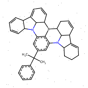 CC(C)(c1ccccc1)c1cc2c3c(c1)N1C4CCCC=C4C4C=CCC(B3C3C=CC=C5C6C=CC=CC6N2C53)C41